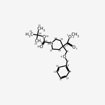 COC(=O)C1(COCc2ccccc2)CCN(C(=O)OC(C)(C)C)CC1